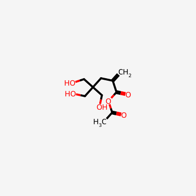 C=C(CC(CO)(CO)CO)C(=O)OC(C)=O